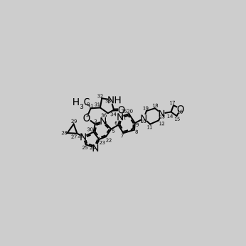 C[C@@H](Oc1nc(-c2ccc(N3CCN(C4COC4)CC3)cn2)cc2ncn(C3CC3)c12)C1CNC(=O)C1